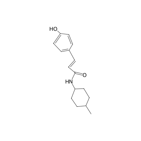 CC1CCC(NC(=O)C=Cc2ccc(O)cc2)CC1